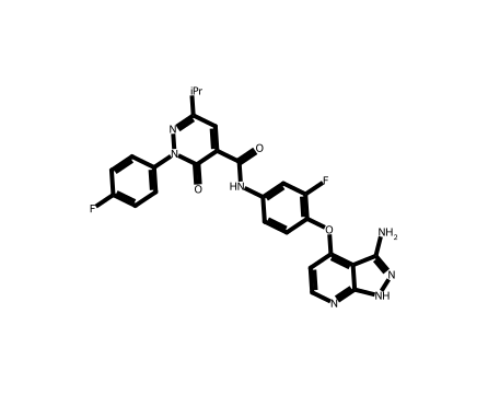 CC(C)c1cc(C(=O)Nc2ccc(Oc3ccnc4[nH]nc(N)c34)c(F)c2)c(=O)n(-c2ccc(F)cc2)n1